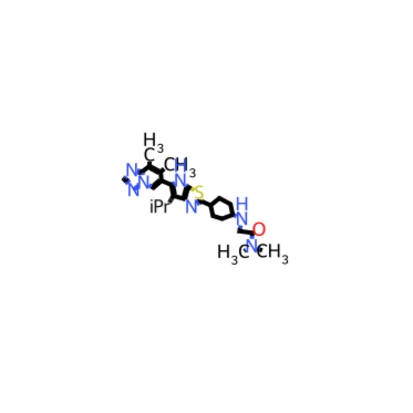 Cc1c(-c2[nH]c3sc(C4CCC(NCC(=O)N(C)C)CC4)nc3c2C(C)C)cn2ncnc2c1C